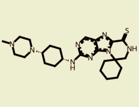 CN1CCN([C@H]2CC[C@@H](Nc3ncc4nc5n(c4n3)C3(CCCCC3)CNC5=S)CC2)CC1